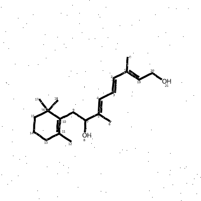 CC(C=CC=C(C)C(O)CC1=C(C)CCCC1(C)C)=CCO